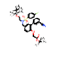 CC(C)(C)OC(=O)COc1ccc(CN(CCO[Si](C)(C)C(C)(C)C)S(=O)(=O)c2ccc(F)cc2)cc1-c1cccc(C#N)c1